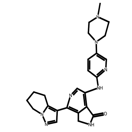 CN1CCN(c2ccc(Nc3cnc(-c4cnn5c4CCCC5)c4c3C(=O)NC4)nc2)CC1